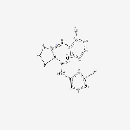 Fc1cccc(NC(=S)N2CCS/C2=N/c2c(Cl)cccc2Cl)c1